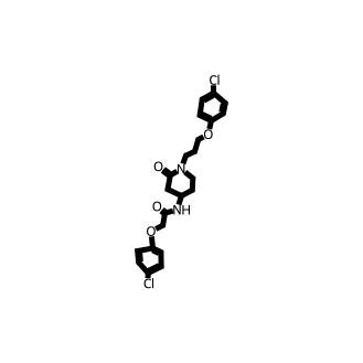 O=C(COc1ccc(Cl)cc1)NC1CCN(CCCOc2ccc(Cl)cc2)C(=O)C1